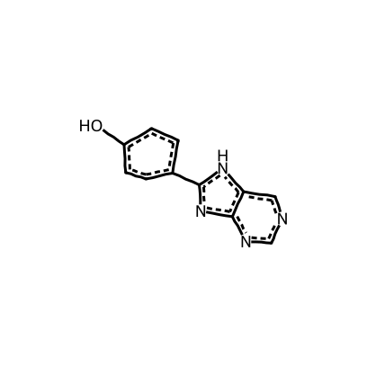 Oc1ccc(-c2nc3ncncc3[nH]2)cc1